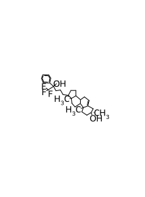 CC12CC[C@](C)(O)CC1=CCC1C2CCC2(C)C(CCCC(O)(c3ccccc3)C(F)(F)F)CCC12